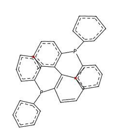 Cc1cccc(P(c2ccccc2)c2ccccc2)c1C1=C(P(c2ccccc2)c2ccccc2)C=CCC1C